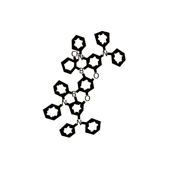 CC12C=CC=CC1B1c3cc4c(cc3Oc3cc(N(c5ccccc5)c5ccccc5)cc(c31)N2c1ccccc1)Oc1cc(N(c2ccccc2)c2ccccc2)cc2c1B4c1ccccc1N2c1ccccc1